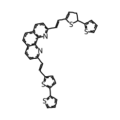 C1=C(/C=C/c2ccc3ccc4ccc(/C=C/c5ccc(-c6cccs6)s5)nc4c3n2)SC(c2cccs2)C1